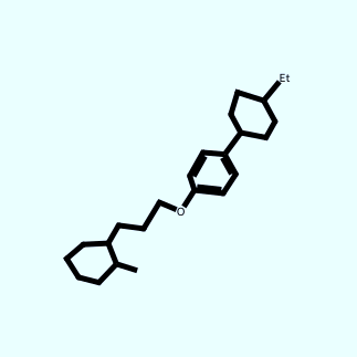 CCC1CCC(c2ccc(OCCCC3CCCCC3C)cc2)CC1